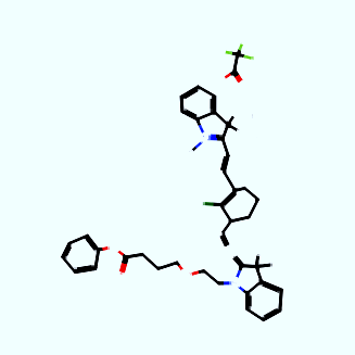 CC[N+]1=C(/C=C/C2=C(Cl)C(C=C=C3N(CCOCCCC(=O)Oc4ccccc4)c4ccccc4C3(C)C)CCC2)C(C)(C)c2ccccc21.O=C([O-])C(F)(F)F